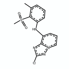 Cc1cccc(Nc2cccn3nc(Cl)nc23)c1S(C)(=O)=O